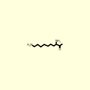 CC(=O)C(N)CCCCCCCN